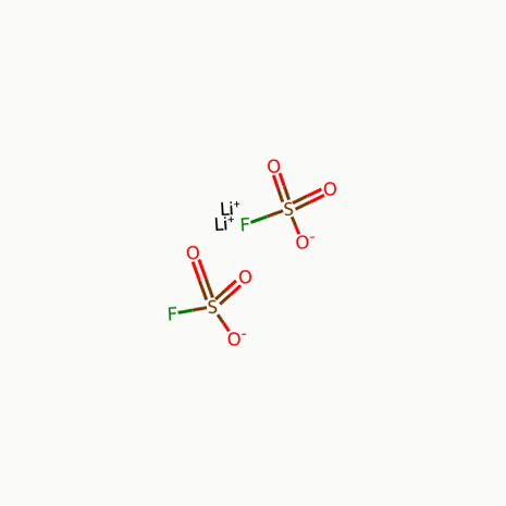 O=S(=O)([O-])F.O=S(=O)([O-])F.[Li+].[Li+]